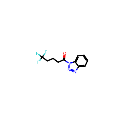 O=C(CCCC(F)(F)F)n1nnc2ccccc21